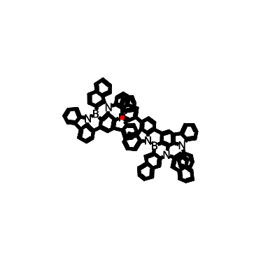 c1ccc(-n2c3ccccc3c3cc4c5c(c32)N(c2ccc3ccccc3c2)c2cc3ccccc3cc2B5n2c3ccccc3c3c(-c5ccc6c(N7c8c(ccc9ccccc89)B8c9c(cc%10c%11ccccc%11n(-c%11ccccc%11)c%10c97)-c7cccc9c%10ccccc%10n8c79)cccc6c5)ccc-4c32)cc1